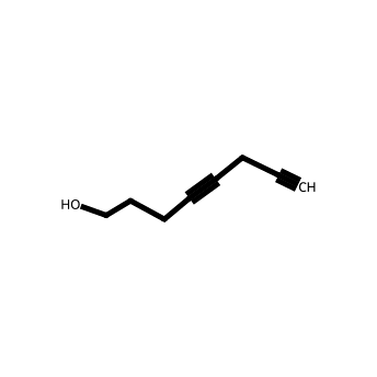 C#CCC#CCCCO